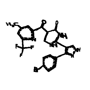 Cc1cc(C(=O)C2=CNC(c3c[nH]nc3-c3ccc(Br)cc3)NC2=O)nc(C(F)(F)F)c1